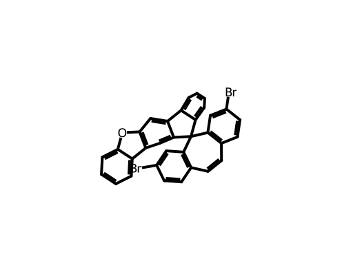 Brc1ccc2c(c1)C1(c3cc(Br)ccc3C=C2)c2ccccc2-c2cc3oc4ccccc4c3cc21